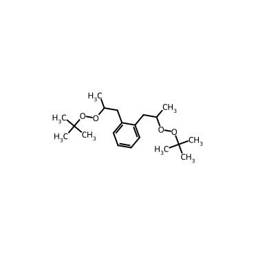 CC(Cc1ccccc1CC(C)OOC(C)(C)C)OOC(C)(C)C